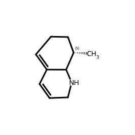 C[C@H]1CCC=C2C=CCNC21